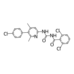 Cc1cc(NC(=O)NC(=O)c2c(Cl)cccc2Cl)nc(C)c1-c1ccc(Cl)cc1